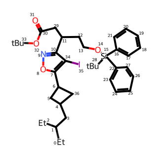 CCC(CC)CC1CC(c2onc(C(CCO[Si](c3ccccc3)(c3ccccc3)C(C)(C)C)CC(=O)OC(C)(C)C)c2I)C1